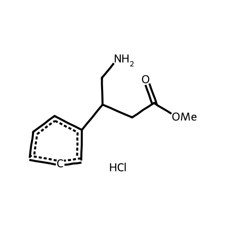 COC(=O)CC(CN)c1ccccc1.Cl